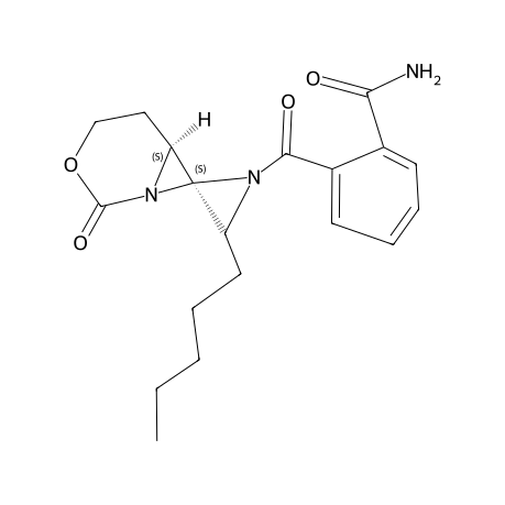 CCCCCC1N(C(=O)c2ccccc2C(N)=O)[C@@]12[C@@H]1CCOC(=O)N12